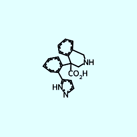 O=C(O)C1(c2ccccc2-c2ccn[nH]2)CNCc2ccccc21